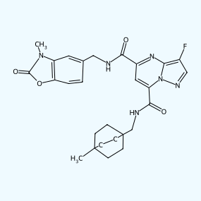 Cn1c(=O)oc2ccc(CNC(=O)c3cc(C(=O)NCC45CCC(C)(CC4)CC5)n4ncc(F)c4n3)cc21